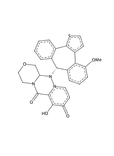 COc1cccc2c1-c1ccsc1-c1ccccc1[C@H]2N1C2COCCN2C(=O)c2c(O)c(=O)ccn21